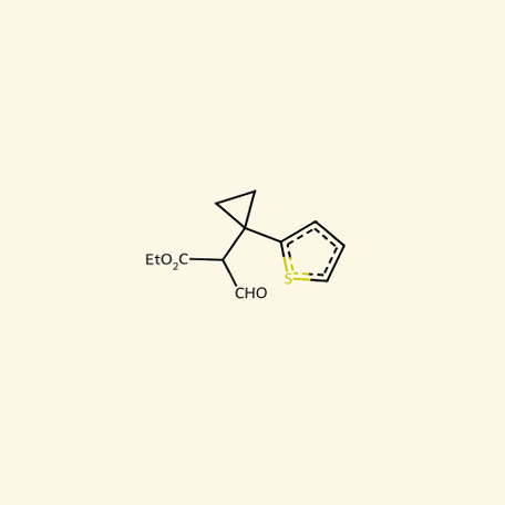 CCOC(=O)C(C=O)C1(c2cccs2)CC1